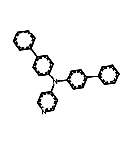 c1ccc(-c2ccc(N(c3ccncc3)c3ccc(-c4ccccc4)cc3)cc2)cc1